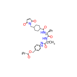 CC(C)C(=O)OCc1ccc(NC(=O)[C@H](C)NC(=O)[C@@H](NC(=O)C2CCC(CN3C(=O)C=CC3=O)CC2)C(C)C)cc1